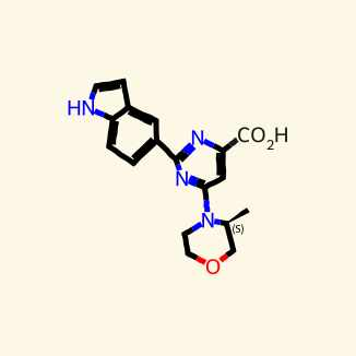 C[C@H]1COCCN1c1cc(C(=O)O)nc(-c2ccc3[nH]ccc3c2)n1